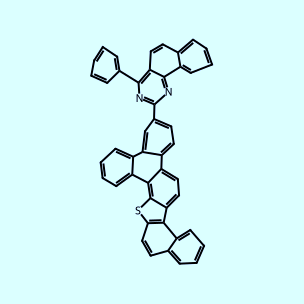 c1ccc(-c2nc(-c3ccc4c(c3)c3ccccc3c3c4ccc4c3sc3ccc5ccccc5c34)nc3c2ccc2ccccc23)cc1